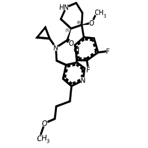 COCCCc1cc(CN(C(=O)[C@H]2CNCC[C@]2(OC)c2ccc(F)c(F)c2)C2CC2)c(Cl)cn1